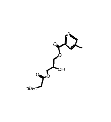 CCCCCCCCCCCC(=O)OCC(O)COC(=O)c1cncc(C)c1